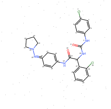 O=C(Nc1ccc(Cl)cc1)NC(C(=O)NC1=CCC(=NN2CCCC2)C=C1)c1ccccc1Cl